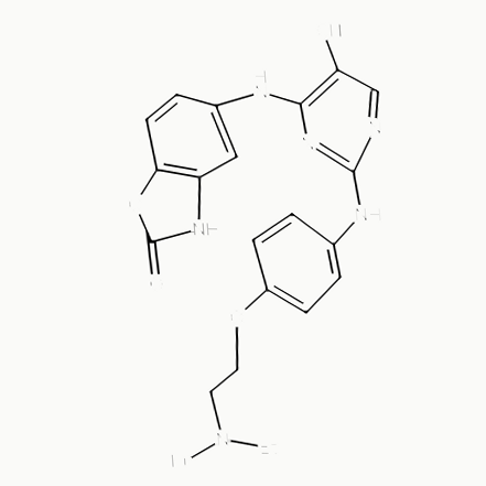 CCN(CC)CCOc1ccc(Nc2ncc(C)c(Nc3ccc4oc(=O)[nH]c4c3)n2)cc1